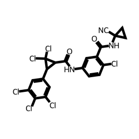 N#CC1(NC(=O)c2cc(NC(=O)C3C(c4cc(Cl)c(Cl)c(Cl)c4)C3(Cl)Cl)ccc2Cl)CC1